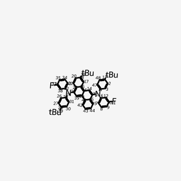 CC(C)(C)c1ccc(N(c2cccc(F)c2)c2cc3c4cc(C(C)(C)C)ccc4c(N(c4ccc(C(C)(C)C)cc4)c4cccc(F)c4)cc3c3ccccc23)cc1